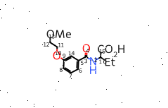 CCC(NC(=O)c1cccc(OCCOC)c1)C(=O)O